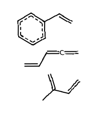 C=C=CC=C.C=CC(=C)C.C=Cc1ccccc1